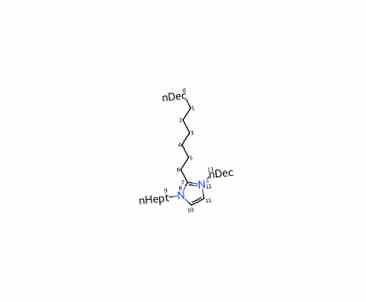 CCCCCCCCCCCCCCCCc1n(CCCCCCC)cc[n+]1CCCCCCCCCC